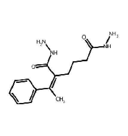 CC(=C(CCCC(=O)NN)C(=O)NN)c1ccccc1